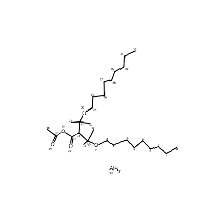 CCCCCCCCCOC(C)(C)C(C(=O)OC(C)=O)C(C)(C)OCCCCCCCCC.[AlH3]